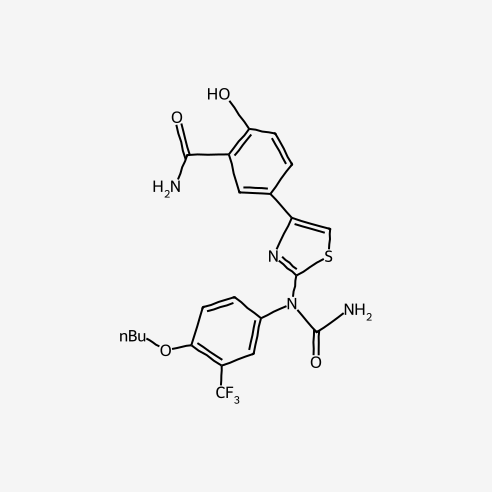 CCCCOc1ccc(N(C(N)=O)c2nc(-c3ccc(O)c(C(N)=O)c3)cs2)cc1C(F)(F)F